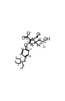 CC[N+](CC)(CC)Cc1ccc(OC2=C(C(=O)[O-])N3C(=O)[C@H]([C@@H](C)O)[C@H]3S2)cc1